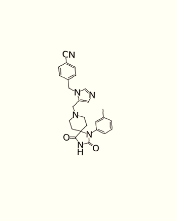 Cc1cccc(N2C(=O)NC(=O)C23CCN(Cc2cncn2Cc2ccc(C#N)cc2)CC3)c1